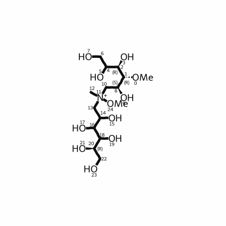 CO[C@@H]([C@H](O)C(O)CO)[C@@H](O)C[N+](C)(CC(O)C(O)C(O)[C@H](O)CO)OC